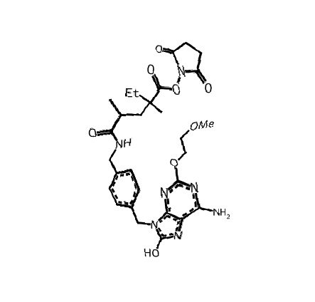 CCC(C)(CC(C)C(=O)NCc1ccc(Cn2c(O)nc3c(N)nc(OCCOC)nc32)cc1)C(=O)ON1C(=O)CCC1=O